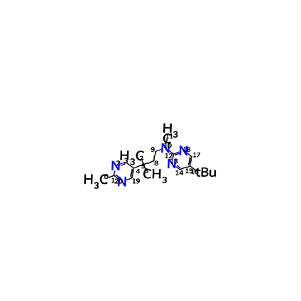 Cc1ncc(C(C)(C)CCN(C)c2ncc(C(C)(C)C)cn2)cn1